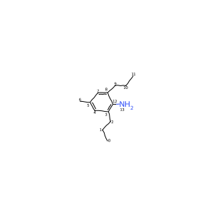 CCCc1cc(C)cc(CCC)c1N